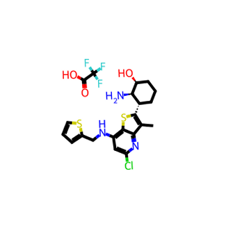 Cc1c([C@H]2CCC[C@H](O)[C@@H]2N)sc2c(NCc3cccs3)cc(Cl)nc12.O=C(O)C(F)(F)F